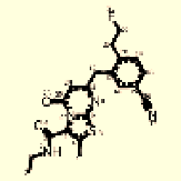 CCNC(=O)c1c(C)sc2nc(Cc3cc(C#N)ccc3CCF)cc(=O)n12